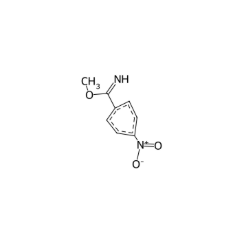 COC(=N)c1ccc([N+](=O)[O-])cc1